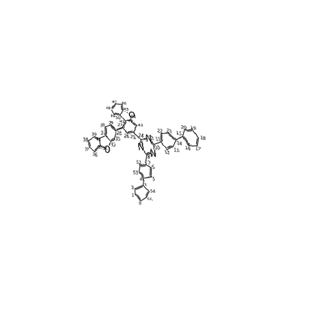 c1ccc(-c2ccc(-c3nc(-c4ccc(-c5ccccc5)cc4)nc(-c4cc(-c5ccc6c(c5)oc5ccccc56)c5c(c4)oc4ccccc45)n3)cc2)cc1